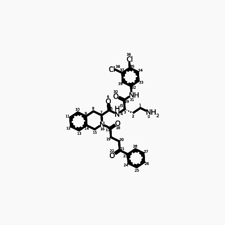 NCC[C@H](NC(=O)C1Cc2ccccc2CN1C(=O)CCC(=O)c1ccccc1)C(=O)Nc1ccc(Cl)c(Cl)c1